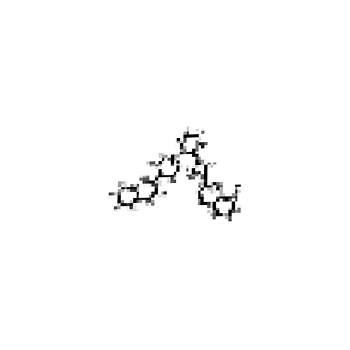 Fc1cccc2ccc(N3CC(c4nccnc4N4CCC(c5ccc6ccccc6n5)CC4)C3)nc12